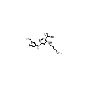 C=CCCCNc1nc(Nc2cnn(C(C)(C)C)c2)ncc1C(N)O